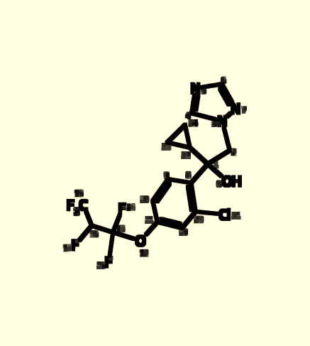 OC(Cn1cncn1)(c1ccc(OC(F)(F)C(F)C(F)(F)F)cc1Cl)C1CC1